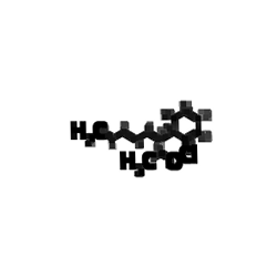 C=CC=CC=C(C(C)=O)c1ccccc1Cl